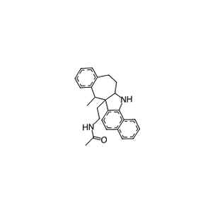 CC(=O)NCCC12c3ccc4ccccc4c3NC1CCc1ccccc1C2C